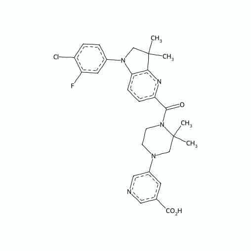 CC1(C)CN(c2ccc(Cl)c(F)c2)c2ccc(C(=O)N3CCN(c4cncc(C(=O)O)c4)CC3(C)C)nc21